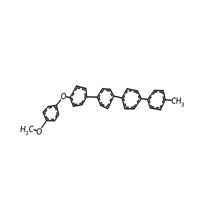 COc1ccc(Oc2ccc(-c3ccc(-c4ccc(-c5ccc(C)cc5)cc4)cc3)cc2)cc1